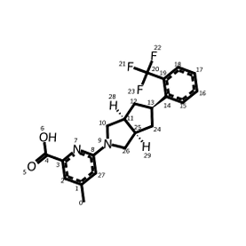 Cc1cc(C(=O)O)nc(N2C[C@H]3C[C@@H](c4ccccc4C(F)(F)F)C[C@H]3C2)c1